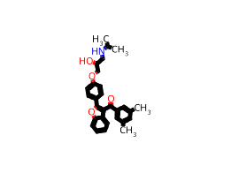 Cc1cc(C)cc(C(=O)c2c(-c3ccc(OCC(O)CNC(C)C)cc3)oc3ccccc23)c1